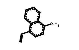 C=Cc1ccc([SiH3])c2ccccc12